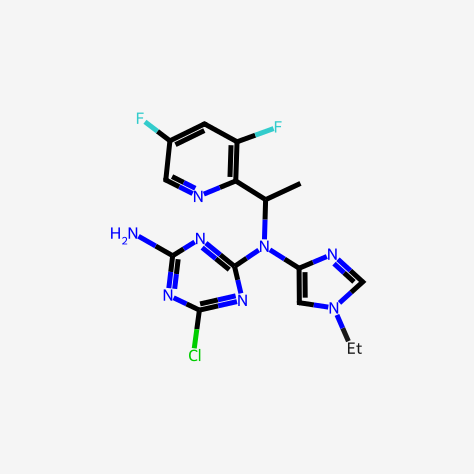 CCn1cnc(N(c2nc(N)nc(Cl)n2)C(C)c2ncc(F)cc2F)c1